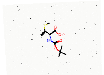 C=C(SC)[C@H](NC(=O)OC(C)(C)C)C(=O)O